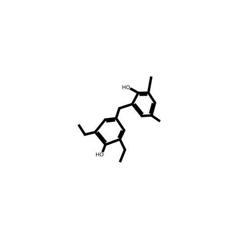 CCc1cc(Cc2cc(C)cc(C)c2O)cc(CC)c1O